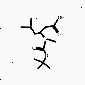 CC(C)CC(CC(=O)O)N(C)C(=O)OC(C)(C)C